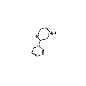 C1=CCN(C2CNCC[N]2)C=C1